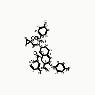 O=C(c1cc(F)ccn1)[C@]12Cc3cnn(-c4ccc(F)cc4)c3C=C1CC[C@H](N(CC1(O)CC1)S(=O)(=O)c1ccc(F)cc1)C2